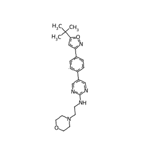 CC(C)(C)c1cc(-c2c[c]c(-c3cnc(NCCN4CCOCC4)nc3)cc2)no1